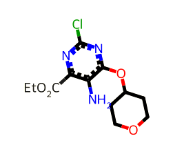 CCOC(=O)c1nc(Cl)nc(OC2CCOCC2)c1N